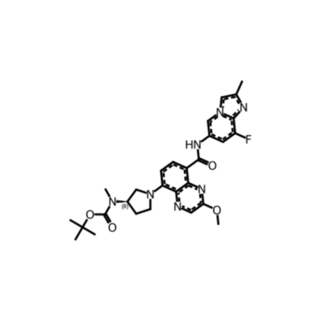 COc1cnc2c(N3CC[C@@H](N(C)C(=O)OC(C)(C)C)C3)ccc(C(=O)Nc3cc(F)c4nc(C)cn4c3)c2n1